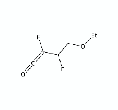 CCOCC(F)C(F)=C=O